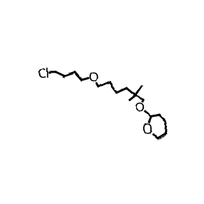 CC(C)(CCCCOCCCCCl)COC1CCCCO1